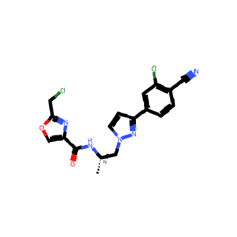 C[C@@H](Cn1ccc(-c2ccc(C#N)c(Cl)c2)n1)NC(=O)c1coc(CCl)n1